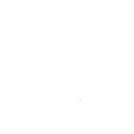 c1cc(-c2ccc3c(-c4cccc5ccccc45)c4ccccc4c(-c4cccc5ccccc45)c3c2)cc(-c2nc3ccccc3c3c4ccccc4c4ccccc4c23)c1